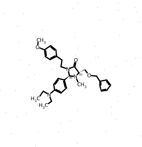 CCN(CC)c1ccc([C@H]2N(CCc3ccc(OC)cc3)C(=O)[C@H](COCc3ccccc3)N2C)cc1